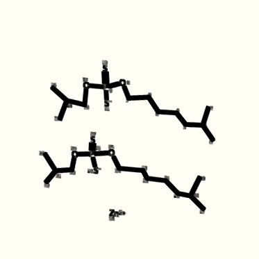 CC(C)CCCCCOP(=S)([S-])OCC(C)C.CC(C)CCCCCOP(=S)([S-])OCC(C)C.[Zn+2]